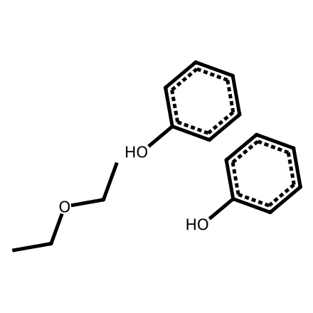 CCOCC.Oc1ccccc1.Oc1ccccc1